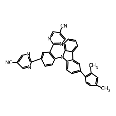 Cc1ccc(-c2ccc3c(c2)c2ccccc2n3-c2ccc(-c3ncc(C#N)cn3)cc2-c2ncc(C#N)cn2)c(C)c1